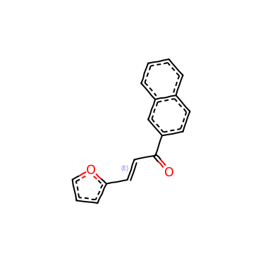 O=C(/C=C/c1ccco1)c1ccc2ccccc2c1